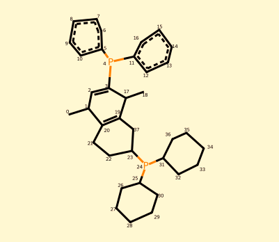 CC1C=C(P(c2ccccc2)c2ccccc2)C(C)C2=C1CCC(P(C1CCCCC1)C1CCCCC1)C2